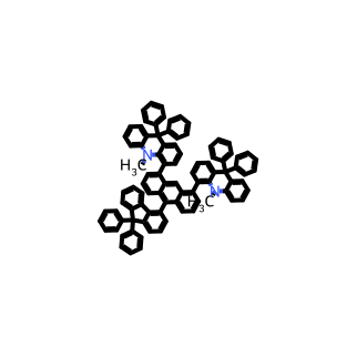 CN1c2ccccc2C(c2ccccc2)(c2ccccc2)c2cccc(-c3cccc4c(-c5cccc6c5-c5ccccc5C6(c5ccccc5)c5ccccc5)c5cccc(-c6cccc7c6N(C)c6ccccc6C7(c6ccccc6)c6ccccc6)c5cc34)c21